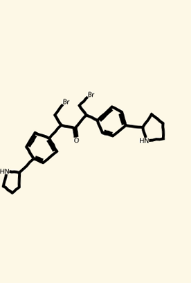 O=C(C(CBr)c1ccc(C2CCCN2)cc1)C(CBr)c1ccc(C2CCCN2)cc1